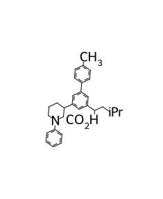 Cc1ccc(-c2cc(C3CCCN(c4ccccc4)C3)cc(C(CC(C)C)C(=O)O)c2)cc1